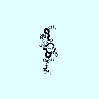 COCCOC(=O)Nc1ccc2c(c1)N[C@@H](C=O)CCCC[C@H](NC(=O)/C=C/c1cc(C)ccc1-n1cnnn1)c1nc-2c[nH]1